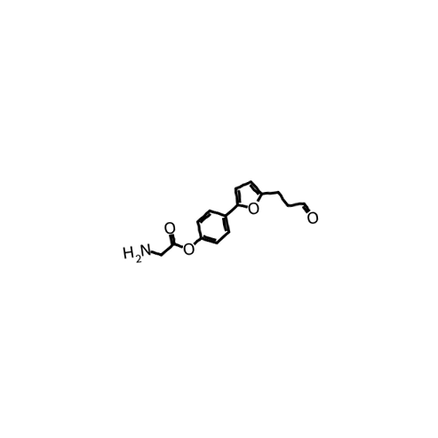 NCC(=O)Oc1ccc(-c2ccc(CCC=O)o2)cc1